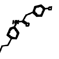 CCCc1ccc(NC(=O)Cc2ccc(Cl)cc2)cc1